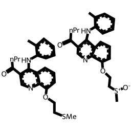 CCCC(=O)c1cnc2c(OCCSC)cccc2c1Nc1ccccc1C.CCCC(=O)c1cnc2c(OCC[S+](C)[O-])cccc2c1Nc1ccccc1C